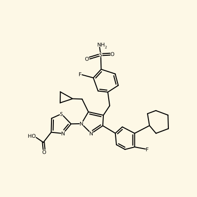 NS(=O)(=O)c1ccc(Cc2c(-c3ccc(F)c(C4CCCCC4)c3)nn(-c3nc(C(=O)O)cs3)c2CC2CC2)cc1F